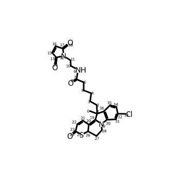 CC1(CCCCCC(=O)NCCN2C(=O)C=CC2=O)C2=C3C=CC(=O)SC3CCN2c2cc(Cl)ccc21